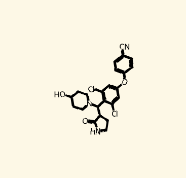 N#Cc1ccc(Oc2cc(Cl)c(C(C3CCNC3=O)N3CCC(O)CC3)c(Cl)c2)cc1